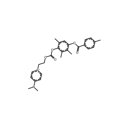 Cc1ccc(C(=O)Oc2cc(C)c(OC(=O)OCC[n+]3ccc(N(C)C)cc3)c(C)c2C)cc1